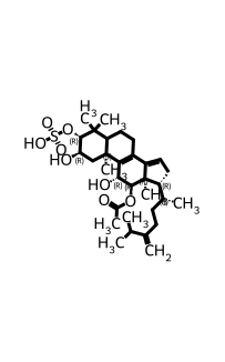 C=C(CC[C@@H](C)[C@H]1CC=C2C3=C([C@@H](O)[C@H](OC(C)=O)[C@@]21C)[C@@]1(C)C[C@@H](O)[C@H](OS(=O)(=O)O)C(C)(C)C1CC3)C(C)C